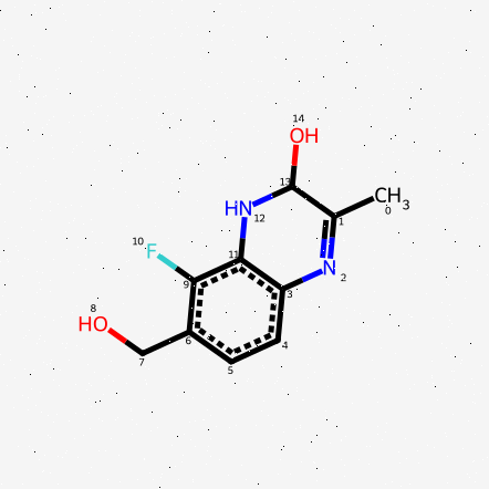 CC1=Nc2ccc(CO)c(F)c2NC1O